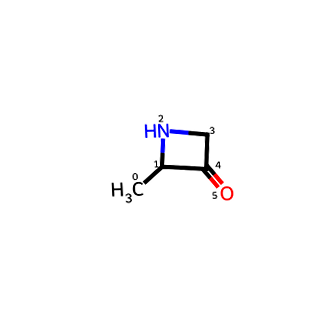 CC1NCC1=O